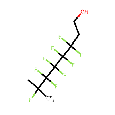 CC(F)(C(F)(F)F)C(F)(F)C(F)(F)C(F)(F)C(F)(F)CCO